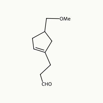 COCC1CC=C(CCC=O)C1